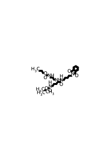 CCCCOC(=O)NCCCNC(CCCNC(=O)OC(C)(C)C)C(=O)NCCCCCN1C(=O)c2ccccc2C1=O